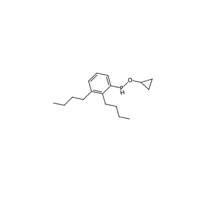 CCCCc1cccc(POC2CC2)c1CCCC